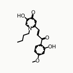 CCCCn1cc(O)c(=O)cc1/C=C/C(=O)c1ccc(OC)cc1O